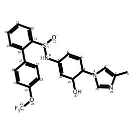 Cc1cn(C2C=CC(N[S+]([O-])c3ccccc3-c3ccc(OC(F)(F)F)cc3)=CC2O)cn1